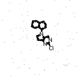 Clc1ncc2c(ccn2-c2cccc3ccccc23)n1